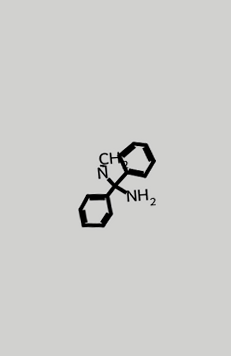 C=NC(N)(c1ccccc1)c1ccccc1